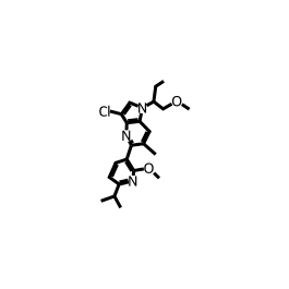 CCC(COC)n1cc(Cl)c2nc(-c3ccc(C(C)C)nc3OC)c(C)cc21